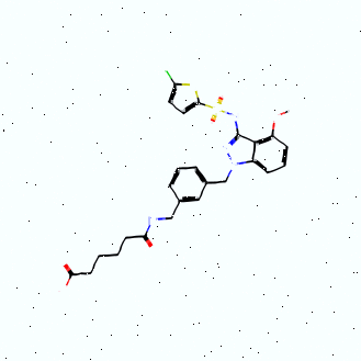 COc1cccc2c1c(NS(=O)(=O)c1ccc(Cl)s1)nn2Cc1cccc(CNC(=O)CCCCC(=O)O)c1